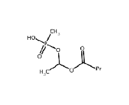 CC(OC(=O)C(C)C)OP(C)(=O)O